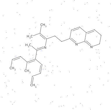 C=C\C=C/C(=C(C)/C=C\C)C(/C)=N/C(CCc1ccc2c(n1)=NCCC=2)=C(C)C